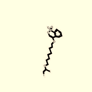 O=S1(=O)OC=C(OCCCCCCCCOC(I)CI)c2ccccc21